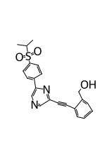 CC(C)S(=O)(=O)c1ccc(-c2cncc(C#Cc3ccccc3CO)n2)cc1